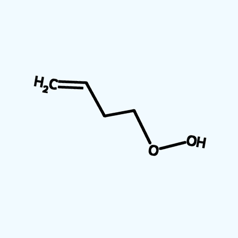 C=CCCOO